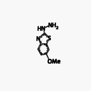 COc1ccc2nc(NN)sc2c1